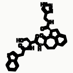 O=C(Cc1csc2ccccc12)N[C@@H](CO)C(=O)N[C@H]1CCc2cccc3c2N(C1=O)[C@H](C(=O)NCc1c[nH]nn1)C3